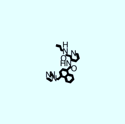 C=CCNC(=O)c1ncccc1NC(=O)c1ccc(Cn2ccnn2)c2ccccc12